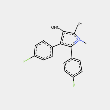 CC(C)c1c(C=O)c(-c2ccc(F)cc2)c(-c2ccc(F)cc2)n1C